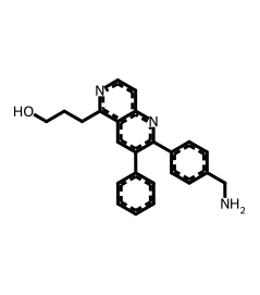 NCc1ccc(-c2nc3ccnc(CCCO)c3cc2-c2ccccc2)cc1